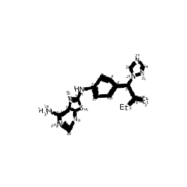 CCC(CC)C(c1ccc(Nc2nc3c(N)ncnc3s2)cc1)n1cncn1